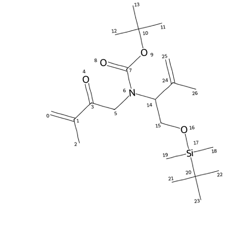 C=C(C)C(=O)CN(C(=O)OC(C)(C)C)C(CO[Si](C)(C)C(C)(C)C)C(=C)C